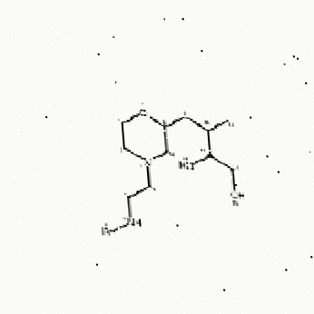 CC(C)NCCN1CCOC(CC(C)C(O)CO)C1